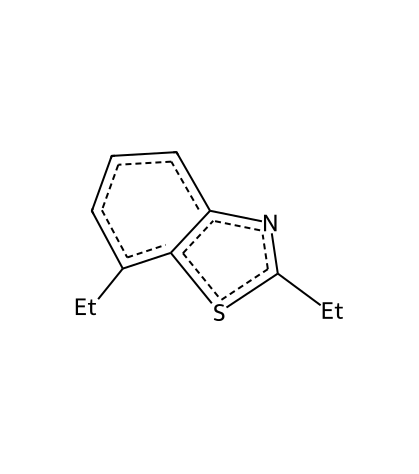 CCc1nc2cccc(CC)c2s1